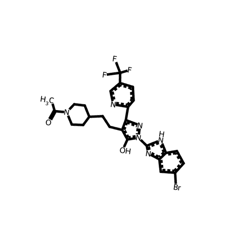 CC(=O)N1CCC(CCc2c(-c3ccc(C(F)(F)F)cn3)nn(-c3nc4cc(Br)ccc4[nH]3)c2O)CC1